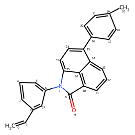 C=Cc1cccc(N2C(=O)c3cccc4c(-c5ccc(C)cc5)ccc2c34)c1